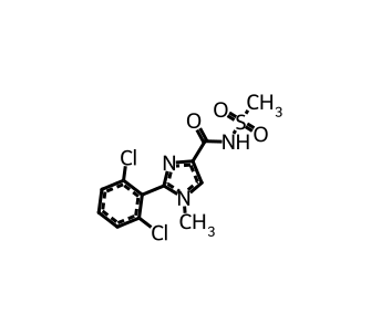 Cn1cc(C(=O)NS(C)(=O)=O)nc1-c1c(Cl)cccc1Cl